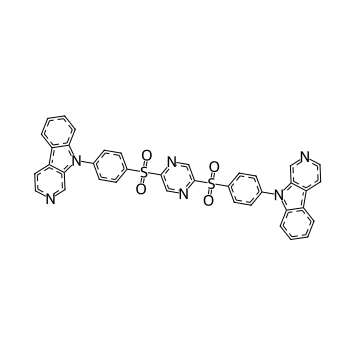 O=S(=O)(c1ccc(-n2c3ccccc3c3ccncc32)cc1)c1cnc(S(=O)(=O)c2ccc(-n3c4ccccc4c4ccncc43)cc2)cn1